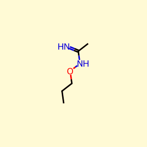 CCCONC(C)=N